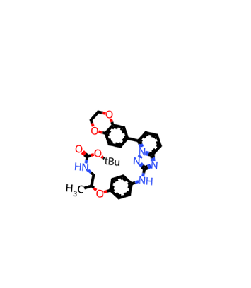 CC(CNC(=O)OC(C)(C)C)Oc1ccc(Nc2nc3cccc(-c4ccc5c(c4)OCCO5)n3n2)cc1